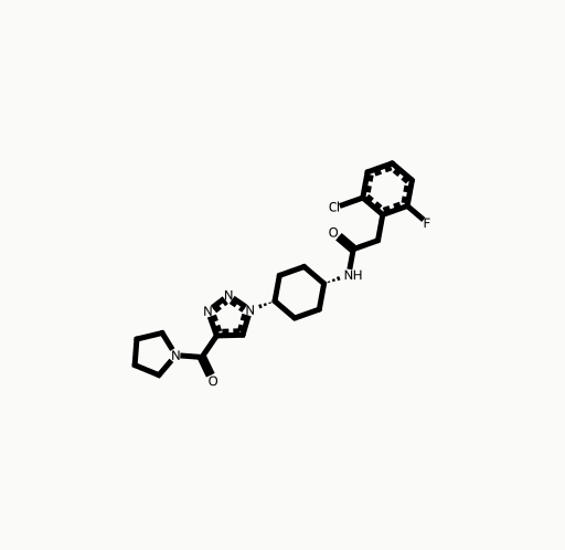 O=C(Cc1c(F)cccc1Cl)N[C@H]1CC[C@@H](n2cc(C(=O)N3CCCC3)nn2)CC1